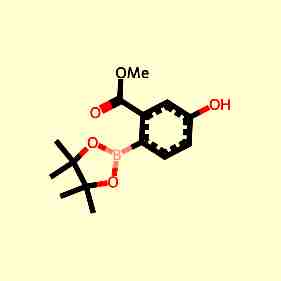 COC(=O)c1cc(O)ccc1B1OC(C)(C)C(C)(C)O1